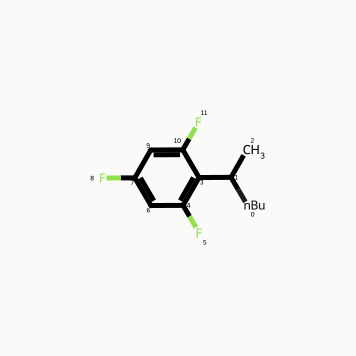 CCCCC(C)c1c(F)cc(F)cc1F